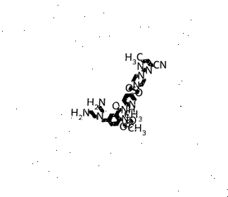 Cc1cc(C#N)nc(N2CCN(S(=O)(=O)c3ccc(NC(=O)c4cc(CN(CCN)CCN)ccc4N(C)S(C)(=O)=O)nc3)CC2)n1